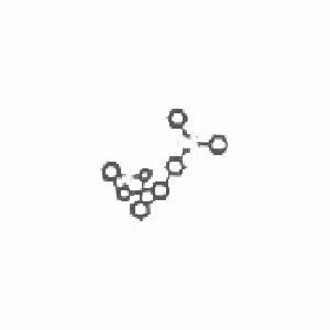 C1=CC(c2nc(-c3ccccc3)nc(-c3ccc(-c4ccc5c(c4)C4(c6ccccc6-5)c5ccccc5-n5c6ccccc6c6cccc4c65)cc3)n2)=CCC1